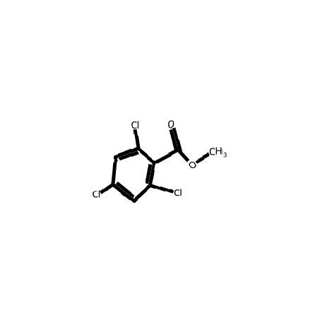 COC(=O)c1c(Cl)cc(Cl)cc1Cl